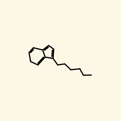 CCCCCCC1=CC=C2C=CCC=C21